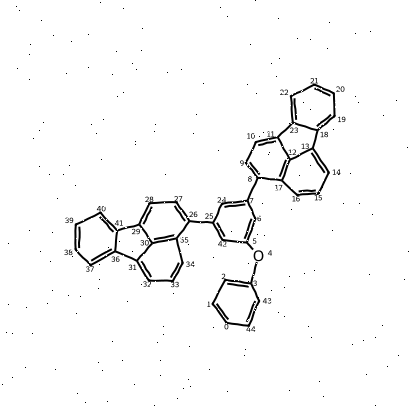 c1ccc(Oc2cc(-c3ccc4c5c(cccc35)-c3ccccc3-4)cc(-c3ccc4c5c(cccc35)-c3ccccc3-4)c2)cc1